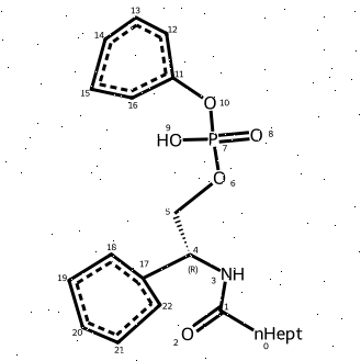 CCCCCCCC(=O)N[C@@H](COP(=O)(O)Oc1ccccc1)c1ccccc1